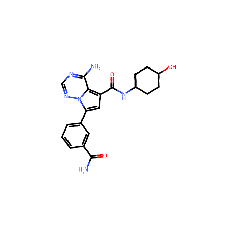 NC(=O)c1cccc(-c2cc(C(=O)NC3CCC(O)CC3)c3c(N)ncnn23)c1